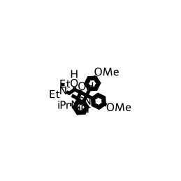 CCN(CC)CC(O)C(O)(C(c1ccccc1)(c1ccc(OC)cc1)c1ccc(OC)cc1)C(C)(C#N)N(C(C)C)C(C)C